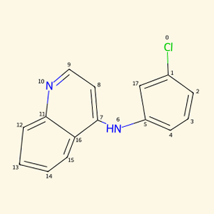 Clc1cccc(Nc2ccnc3ccccc23)c1